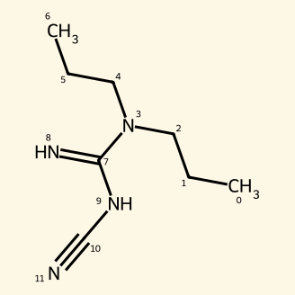 CCCN(CCC)C(=N)NC#N